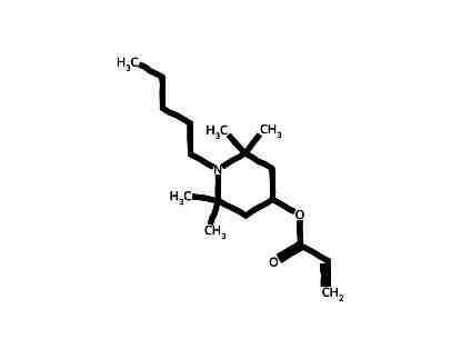 C=CC(=O)OC1CC(C)(C)N(CCCCC)C(C)(C)C1